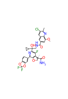 COc1cc(C(=O)NCC(O)(c2nc(-c3ccc4c(c3)OC(F)(F)O4)c3c(c2F)[C@@](C)(C(N)=O)CO3)C2CC2)cc2cc(Cl)c(C)nc12